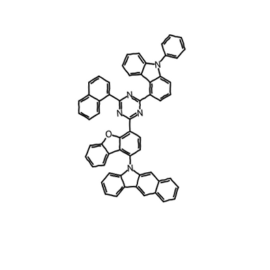 c1ccc(-n2c3ccccc3c3c(-c4nc(-c5cccc6ccccc56)nc(-c5ccc(-n6c7ccccc7c7cc8ccccc8cc76)c6c5oc5ccccc56)n4)cccc32)cc1